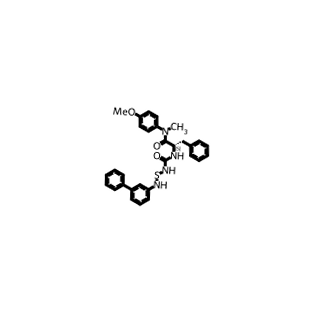 COc1ccc(N(C)C(=O)[C@H](Cc2ccccc2)NC(=O)NSNc2cccc(-c3ccccc3)c2)cc1